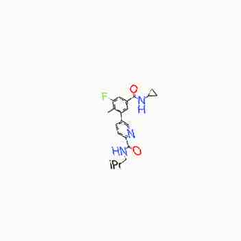 Cc1c(F)cc(C(=O)NC2CC2)cc1-c1ccc(C(=O)NCC(C)C)nc1